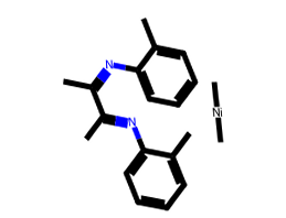 CC(=Nc1ccccc1C)C(C)=Nc1ccccc1C.[CH3][Ni][CH3]